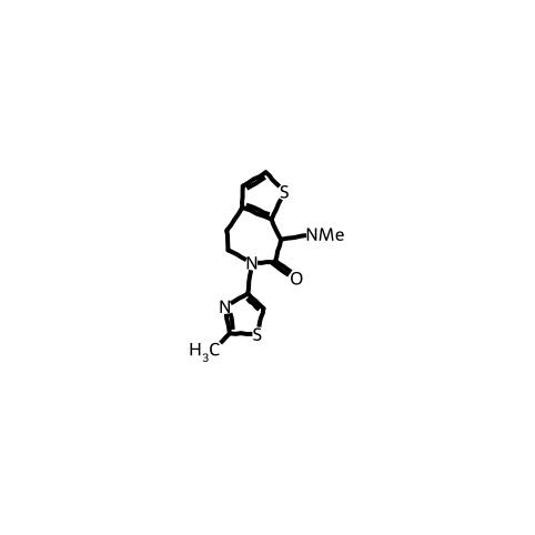 CNC1C(=O)N(c2csc(C)n2)CCc2ccsc21